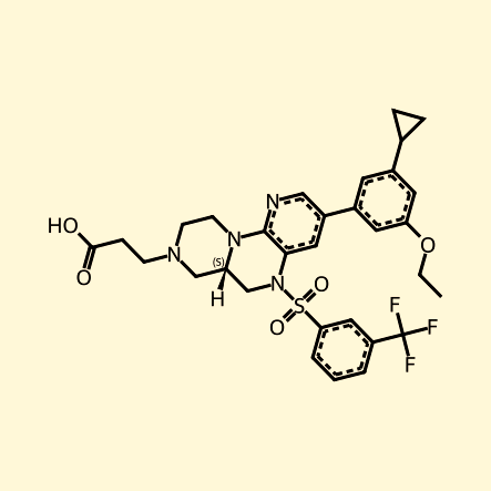 CCOc1cc(-c2cnc3c(c2)N(S(=O)(=O)c2cccc(C(F)(F)F)c2)C[C@@H]2CN(CCC(=O)O)CCN32)cc(C2CC2)c1